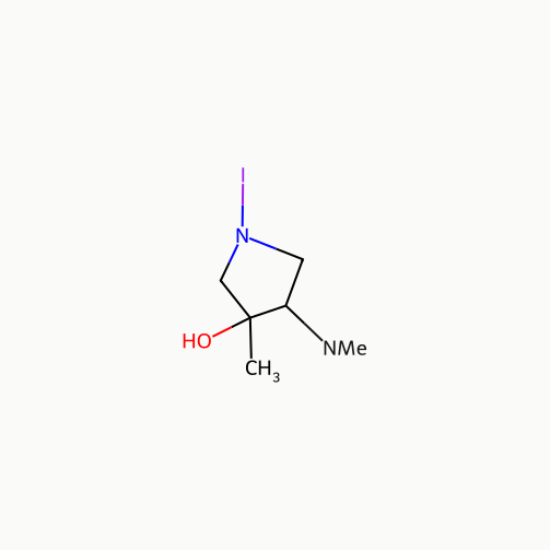 CNC1CN(I)CC1(C)O